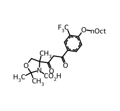 CCCCCCCCOc1ccc(C(=O)CC(=O)C2(C)COC(C)(C)N2C(=O)O)cc1C(F)(F)F